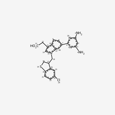 Nc1cc(N)nc(-c2ccc3c(CC(=O)O)cn(CC4CSc5ccc(Cl)cc54)c3c2)n1